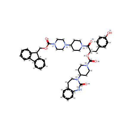 O=C(OCC1c2ccccc2-c2ccccc21)N1CCN(C2CCN(C(=O)[C@@H](Cc3ccc(O)cc3)OC(=O)N3CCC(N4CCc5ccccc5NC4=O)CC3)CC2)CC1